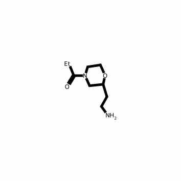 CCC(=O)N1CCOC(CCN)C1